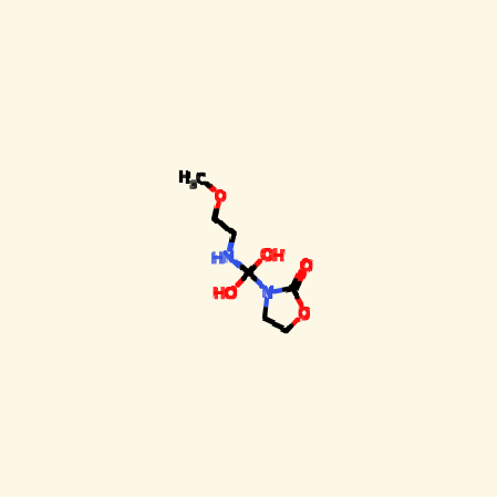 COCCNC(O)(O)N1CCOC1=O